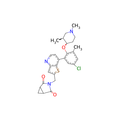 Cc1cc(Cl)cc(-c2ccnc3cc(CN4C(=O)C5CC5C4=O)sc23)c1O[C@@H]1CCN(C)C[C@@H]1C